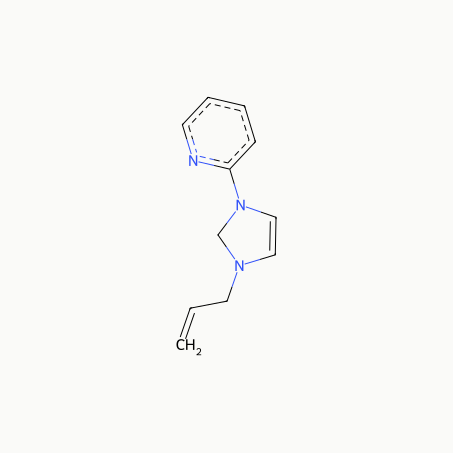 C=CCN1C=CN(c2ccccn2)C1